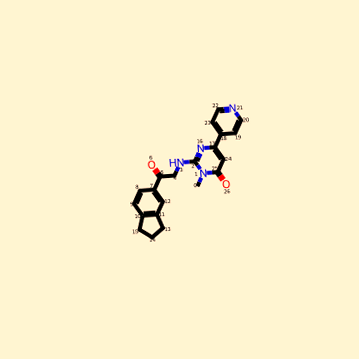 Cn1c(NCC(=O)c2ccc3c(c2)CCC3)nc(-c2ccncc2)cc1=O